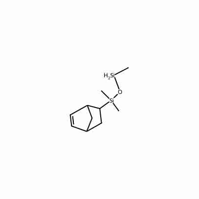 C[SiH2]O[Si](C)(C)C1CC2C=CC1C2